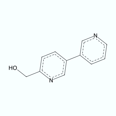 OCc1ccc(-c2cccnc2)cn1